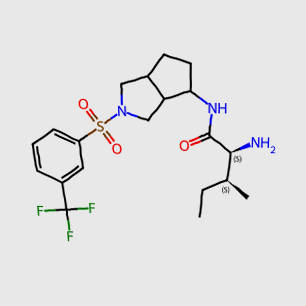 CC[C@H](C)[C@H](N)C(=O)NC1CCC2CN(S(=O)(=O)c3cccc(C(F)(F)F)c3)CC21